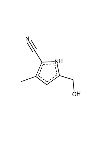 Cc1cc(CO)[nH]c1C#N